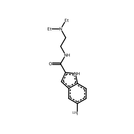 CCN(CC)CCNC(=O)c1cc2cc([125I])ccc2[nH]1